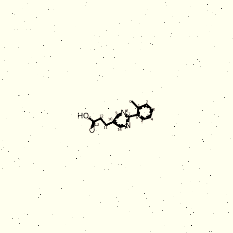 Cc1ccccc1-c1ncc(CCC(=O)O)cn1